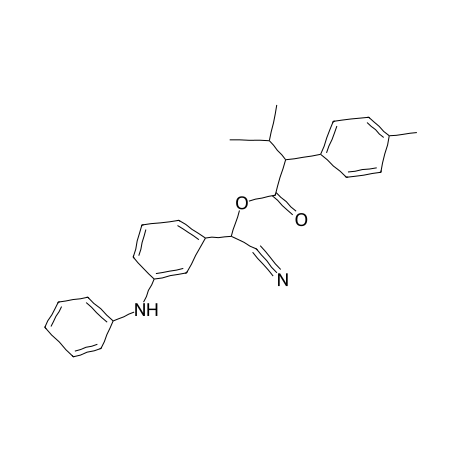 Cc1ccc(C(C(=O)OC(C#N)c2cccc(Nc3ccccc3)c2)C(C)C)cc1